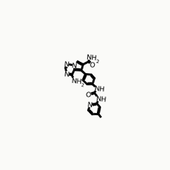 Cc1ccnc(NC(=O)Nc2ccc(-c3c(C(N)=O)cn4ncnc(N)c34)cc2)c1